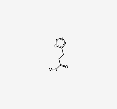 CNC(=O)CCc1ccco1